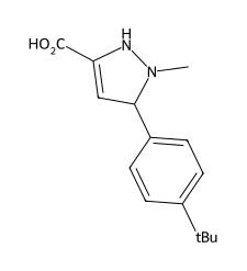 CN1NC(C(=O)O)=CC1c1ccc(C(C)(C)C)cc1